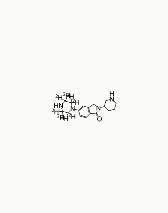 [2H]C1([2H])NC([2H])([2H])C([2H])([2H])N(c2ccc3c(c2)CN(C2CCCNC2)C3=O)C1([2H])[2H]